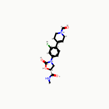 CNC(=O)[C@H]1CN(c2ccc(C3=CCN(C=O)CC3)c(F)c2)C(=O)O1